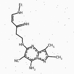 CCN/C=C\C(=N)CCNc1nc2c(C)c(C)nn2c(N)c1C#N